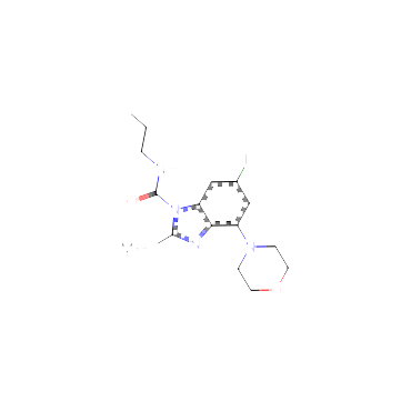 COc1nc2c(N3CCOCC3)cc(F)cc2n1C(=O)NCCC(C)C